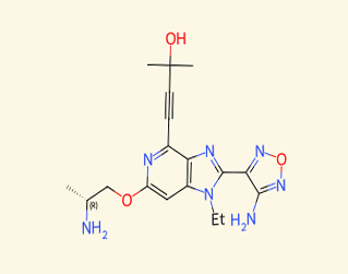 CCn1c(-c2nonc2N)nc2c(C#CC(C)(C)O)nc(OC[C@@H](C)N)cc21